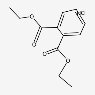 CCOC(=O)c1ccccc1C(=O)OCC.Cl